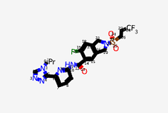 CC(C)n1cnnc1-c1cccc(NC(=O)c2cc3c(cc2F)CN(S(=O)(=O)CCC(F)(F)F)C3)n1